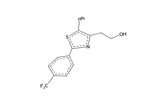 CCCc1sc(-c2ccc(C(F)(F)F)cc2)nc1CCO